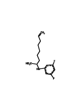 C=CCCCCCC(Nc1cc(F)cc(F)c1)C(=O)O